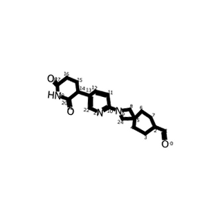 O=CC1CCC2(CC1)CN(c1ccc(C3CCC(=O)NC3=O)cn1)C2